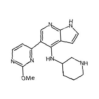 COc1nccc(-c2cnc3[nH]ccc3c2NC2CCCNC2)n1